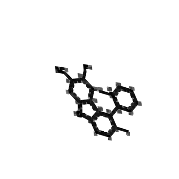 Cc1ccc2oc3cc(C#N)c(F)cc3c2c1-c1cccc[n+]1C